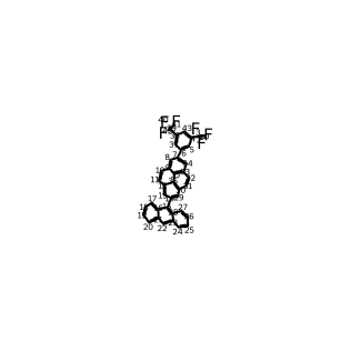 FC(F)(F)c1cc(-c2cc3ccc4cc(-c5c6ccccc6cc6ccccc56)cc5ccc(c2)c3c45)cc(C(F)(F)F)c1